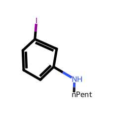 CCCCCNc1cccc(I)c1